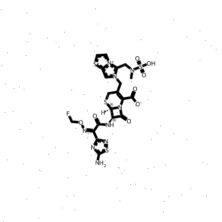 CN(Cc1n(CC2=C(C(=O)[O-])N3C(=O)[C@@H](NC(=O)/C(=N\OCF)c4nsc(N)n4)[C@H]3SC2)cc2scc[n+]12)S(=O)(=O)O